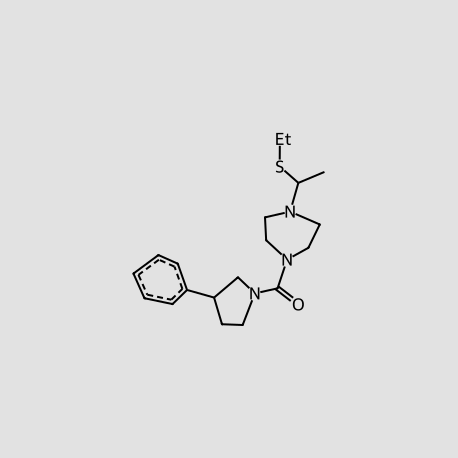 CCSC(C)N1CCN(C(=O)N2CCC(c3ccccc3)C2)CC1